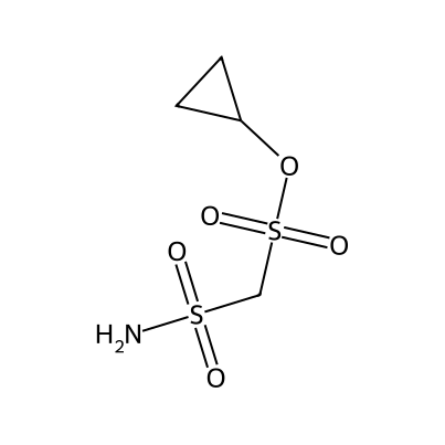 NS(=O)(=O)CS(=O)(=O)OC1CC1